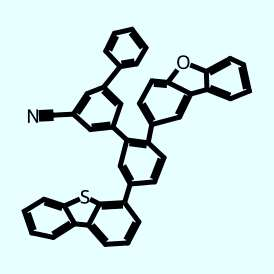 N#Cc1cc(-c2ccccc2)cc(-c2cc(-c3cccc4c3sc3ccccc34)ccc2-c2ccc3oc4ccccc4c3c2)c1